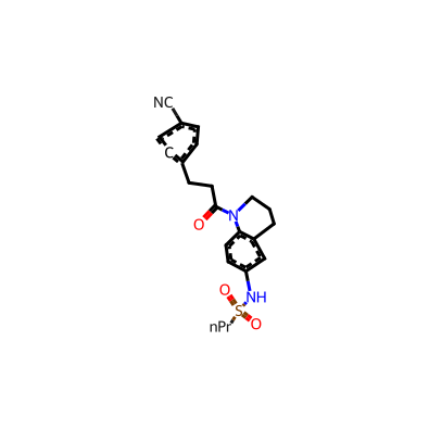 CCCS(=O)(=O)Nc1ccc2c(c1)CCCN2C(=O)CCc1ccc(C#N)cc1